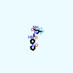 NC(=O)C1[CH]C(C(F)(F)F)CN1CC(=O)Nc1ccc(-n2ccccc2=O)cc1F